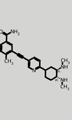 CN[C@@H]1CCC(c2ccc(C#Cc3cc(C(N)=O)ccc3C)cn2)C[C@H]1NC